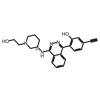 C#Cc1ccc(-c2nnc(N[C@@H]3CCCN(CCO)C3)c3ccccc23)c(O)c1